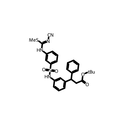 CSC(=NC#N)Nc1cccc(S(=O)(=O)Nc2cccc(C(CC(=O)OC(C)(C)C)c3ccccc3)c2)c1